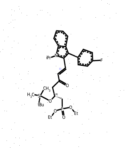 CCOP(=O)(C[C@@H](CC(=O)/C=C/c1c(-c2ccc(F)cc2)c2ccccc2n1C(C)C)O[Si](C)(C)C(C)(C)C)OCC